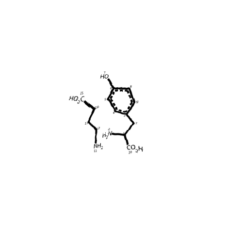 NC(Cc1ccc(O)cc1)C(=O)O.NCCCC(=O)O